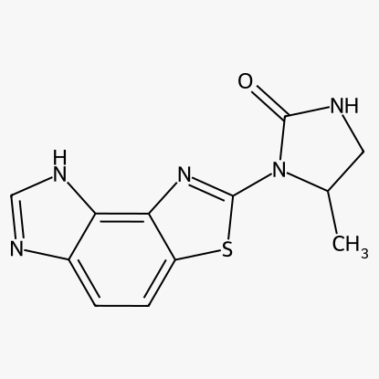 CC1CNC(=O)N1c1nc2c(ccc3nc[nH]c32)s1